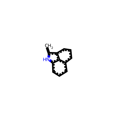 C=c1[nH]c2cccc3cccc1c32